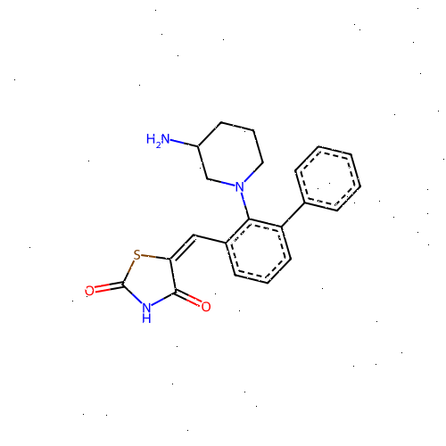 NC1CCCN(c2c(/C=C3/SC(=O)NC3=O)cccc2-c2ccccc2)C1